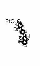 CCOC(=O)N1CCC(c2ccc(NC(=O)c3c(F)cccc3F)cc2)=C(CC)C1